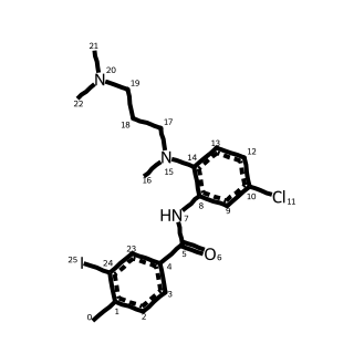 Cc1ccc(C(=O)Nc2cc(Cl)ccc2N(C)CCCN(C)C)cc1I